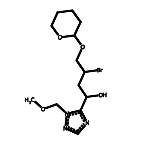 COCn1ncnc1C(O)CC(Br)COC1CCCCO1